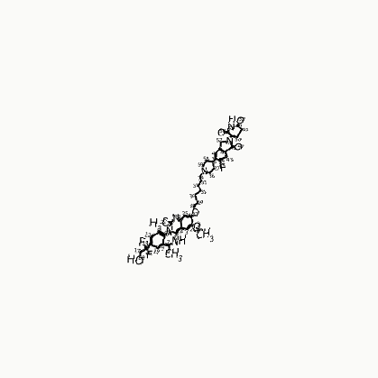 COc1cc2c(NC(C)c3cccc(C(F)(F)CO)c3)nc(C)nc2cc1OCCCCCCCN1CCC(c2cc3c(cc2F)C(=O)N(C2CCC(=O)NC2=O)C3)CC1